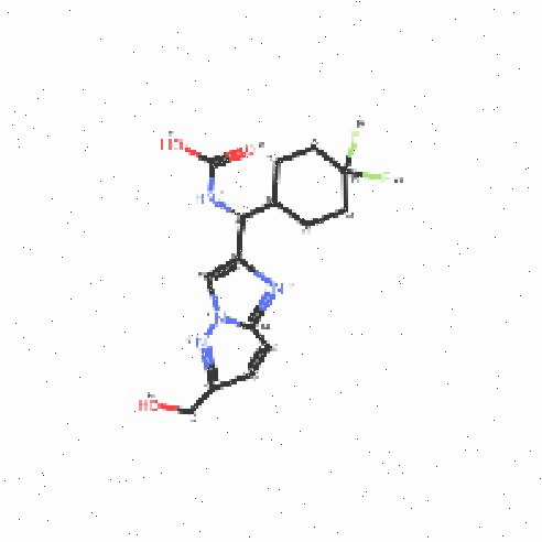 O=C(O)N[C@H](c1cn2nc(CO)ccc2n1)C1CCC(F)(F)CC1